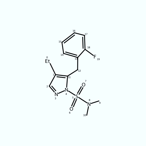 CCc1cnn(S(=O)(=O)N(C)C)c1Cc1ccccc1F